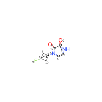 O=c1[nH]ccn(C23CC(F)(C2)C3)c1=O